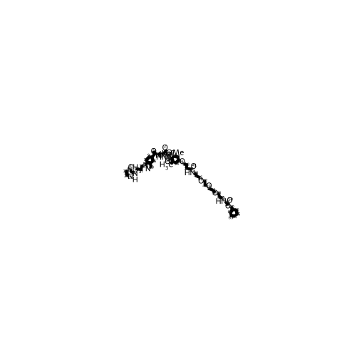 COC(=O)[C@H](CNC(=O)c1ccc2c(cnn2CCCNc2nccn2C)c1)NS(=O)(=O)c1c(C)cc(OCCCC(=O)NCCCOCCOCCOCCCNC(=O)OCc2ccccc2)cc1C